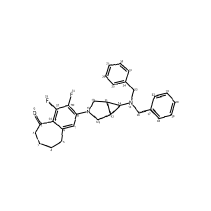 O=C1CCCCc2cc(N3CC4C(C3)C4N(Cc3ccccc3)Cc3ccccc3)c(F)c(F)c21